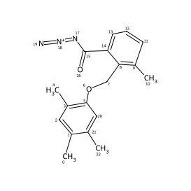 Cc1cc(C)c(OCc2c(C)cccc2C(=O)N=[N+]=[N-])cc1C